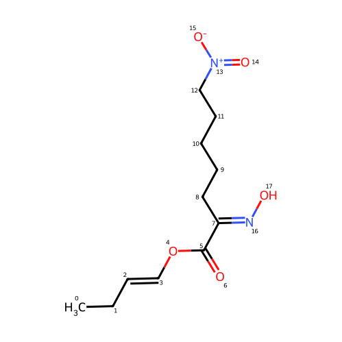 CC/C=C/OC(=O)/C(CCCCC[N+](=O)[O-])=N/O